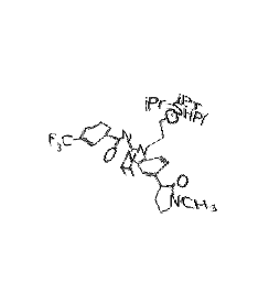 CC(C)[Si](OCCCn1/c(=N/C(=O)c2cccc(C(F)(F)F)c2)[nH]c2cc(C3CCCN(C)C3=O)ccc21)(C(C)C)C(C)C